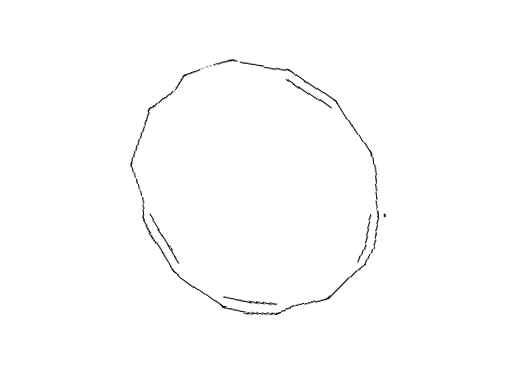 [C]1=CCC=CC=CCCCCC=CC1